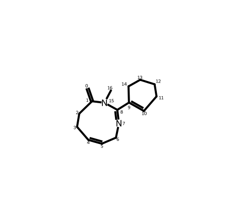 C=C1CC/C=C\C/N=C(/C2=CCCCC2)N1C